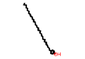 CCCCCCCCCCCCCCCCCCCCCCCCCCCCCCCCCCc1ccc(O)cc1